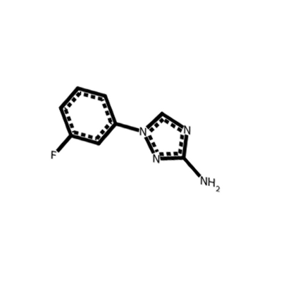 Nc1ncn(-c2cccc(F)c2)n1